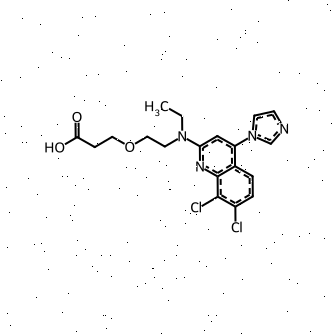 CCN(CCOCCC(=O)O)c1cc(-n2ccnc2)c2ccc(Cl)c(Cl)c2n1